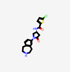 O=C(N[C@@H]1CC(=O)N(c2ccc3c(c2)CCNCC3)C1)c1ccc(Cl)s1